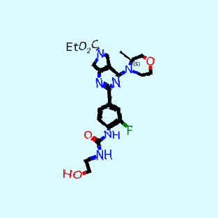 CCOC(=O)N1Cc2nc(-c3ccc(NC(=O)NCCO)c(F)c3)nc(N3CCOC[C@@H]3C)c2C1